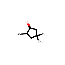 CC(C)C1CC(C)(C)CC1=O